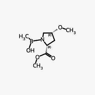 COC(=O)[C@H]1C[C@@H](OC)CN1B(C)O